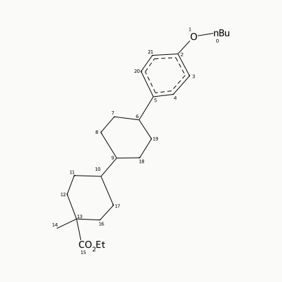 CCCCOc1ccc(C2CCC(C3CCC(C)(C(=O)OCC)CC3)CC2)cc1